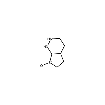 [O-][S+]1CCC2CCNNC21